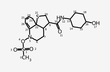 CS(=O)(=O)ON1CCC2C(C(=O)NC3CCC(O)CC3)CSC23CC=CC=C13